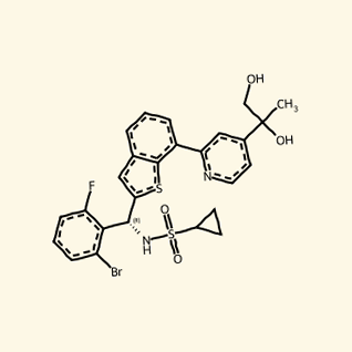 CC(O)(CO)c1ccnc(-c2cccc3cc([C@H](NS(=O)(=O)C4CC4)c4c(F)cccc4Br)sc23)c1